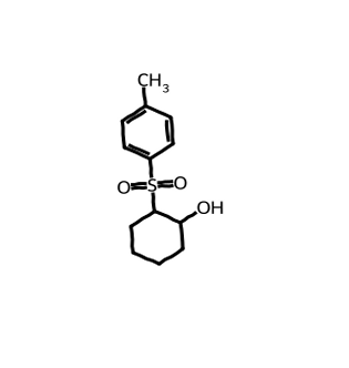 Cc1ccc(S(=O)(=O)C2CCCCC2O)cc1